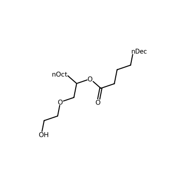 CCCCCCCCCCCCCC(=O)OC(CCCCCCCC)COCCO